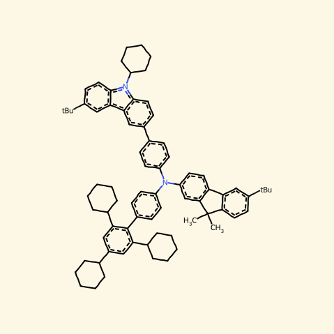 CC(C)(C)c1ccc2c(c1)-c1ccc(N(c3ccc(-c4ccc5c(c4)c4cc(C(C)(C)C)ccc4n5C4CCCCC4)cc3)c3ccc(-c4c(C5CCCCC5)cc(C5CCCCC5)cc4C4CCCCC4)cc3)cc1C2(C)C